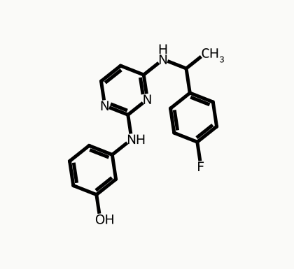 CC(Nc1ccnc(Nc2cccc(O)c2)n1)c1ccc(F)cc1